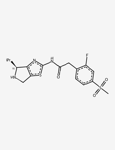 CC(C)[C@@H]1NCc2sc(NC(=O)Cc3ccc(S(C)(=O)=O)cc3F)nc21